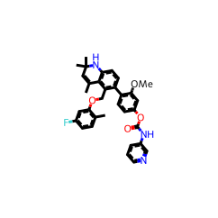 COc1cc(OC(=O)Nc2cccnc2)ccc1-c1ccc2c(c1COc1cc(F)ccc1C)C(C)=CC(C)(C)N2